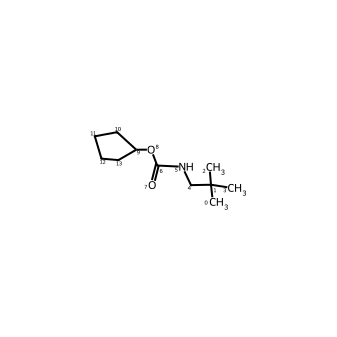 CC(C)(C)CNC(=O)OC1CCCC1